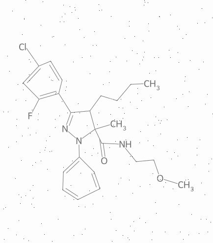 CCCCC1C(c2ccc(Cl)cc2F)=NN(c2ccccc2)C1(C)C(=O)NCCOC